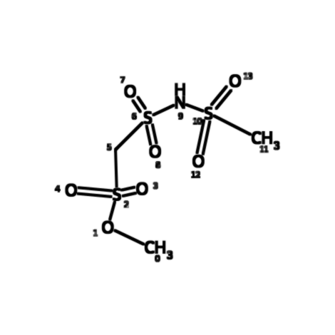 COS(=O)(=O)CS(=O)(=O)NS(C)(=O)=O